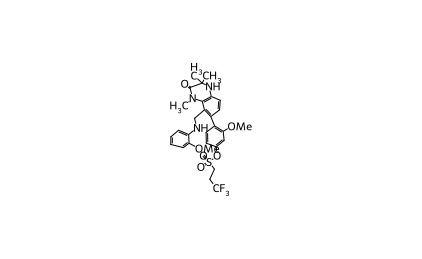 COc1ccccc1NCc1c(-c2ccc(OS(=O)(=O)CCC(F)(F)F)cc2OC)ccc2c1N(C)C(=O)C(C)(C)N2